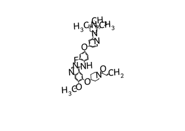 C=CC(=O)N1CCC(Oc2cc3c(Nc4ccc(Oc5ccnc(N6C[C@@H](C)N(C)[C@@H](C)C6)c5)cc4F)ncnc3cc2OC)CC1